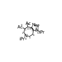 CC(=O)C1CN(C(C)C)CCc2c(nnn2C(C)C)C1C(C)=O